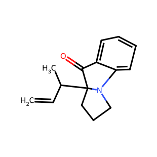 C=CC(C)C12CCCN1c1ccccc1C2=O